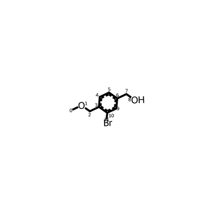 COCc1ccc(CO)cc1Br